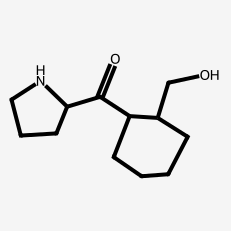 O=C(C1CCCN1)C1CCCCC1CO